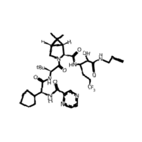 C=CCNC(=O)C(O)C(CCC(F)(F)F)NC(=O)[C@@H]1[C@@H]2[C@H](CN1C(=O)[C@@H](NC(=O)[C@@H](NC(=O)c1cnccn1)C1CCCCC1)C(C)(C)C)C2(C)C